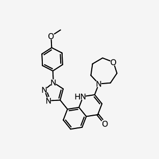 COc1ccc(-n2cc(-c3cccc4c(=O)cc(N5CCCOCC5)[nH]c34)nn2)cc1